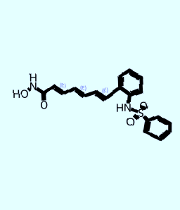 O=C(/C=C/C=C/C=C/c1ccccc1NS(=O)(=O)c1ccccc1)NO